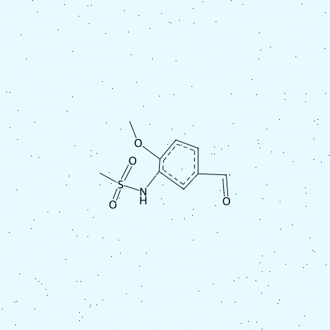 COc1ccc([C]=O)cc1NS(C)(=O)=O